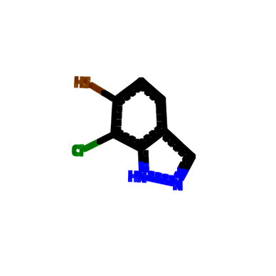 Sc1ccc2cn[nH]c2c1Cl